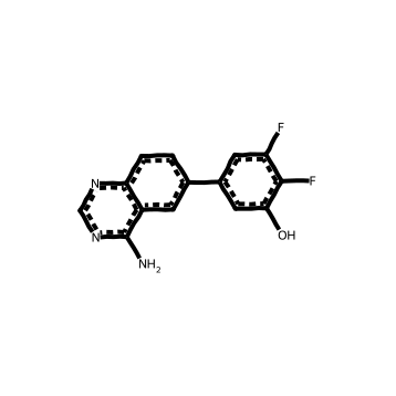 Nc1ncnc2ccc(-c3cc(O)c(F)c(F)c3)cc12